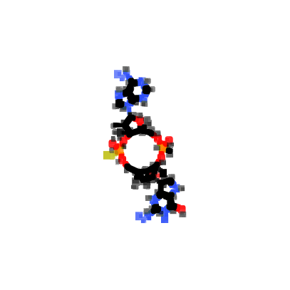 C[C@@H]1[C@@H]2OP(=O)(S)OC[C@H]3C[C@@H](C4C=Nc5c4nc(N)[nH]c5=O)[C@H](OP(C)(=O)OC[C@H]2O[C@H]1n1cnc2c(N)ncnc21)[C@@H]3O